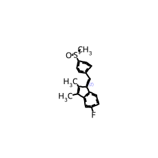 CC1=C(C)c2cc(F)ccc2/C1=C/c1ccc([S+](C)[O-])cc1